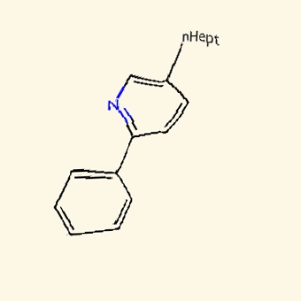 CCCCCCCc1ccc(-c2cc[c]cc2)nc1